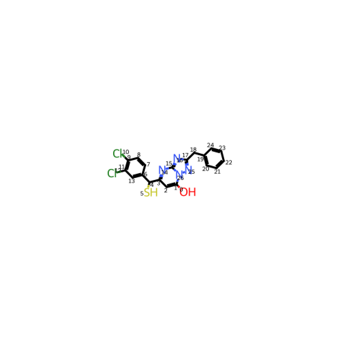 Oc1cc(C(S)c2ccc(Cl)c(Cl)c2)nc2nc(Cc3ccccc3)nn12